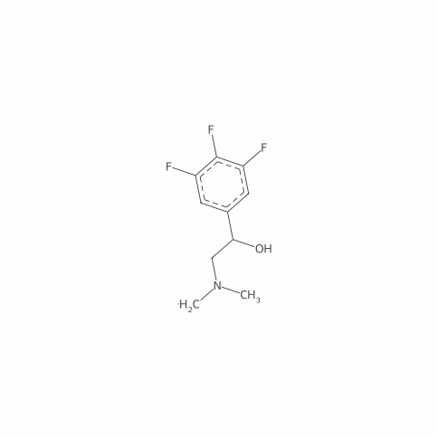 [CH2]N(C)CC(O)c1cc(F)c(F)c(F)c1